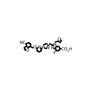 N#Cc1ccc(COc2cccc(N3C=NN(Cc4nc5c(F)cc(C(=O)O)cc5n4CC4CCO4)CC3)n2)c2occc12